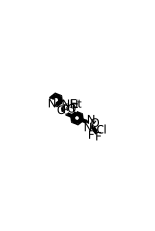 CCOP(=O)(Cc1ccc(-c2noc(C(F)(F)Cl)n2)cc1F)Nc1cccnc1